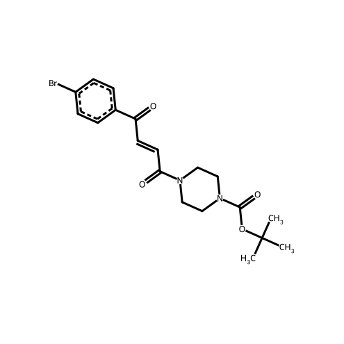 CC(C)(C)OC(=O)N1CCN(C(=O)/C=C/C(=O)c2ccc(Br)cc2)CC1